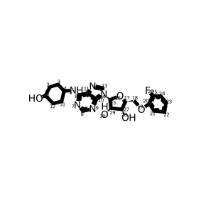 OC1CCC(Nc2ncnc3c2ncn3[C@@H]2O[C@H](COc3ccccc3F)[C@H](O)[C@@H]2O)CC1